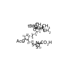 C=C(C)CCC(CC=C[C@H]1CC[C@H](OC(C)=O)[C@@H]1CCSc1nc(C(=O)O)cs1)O[Si](C)(C)C(C)(C)C